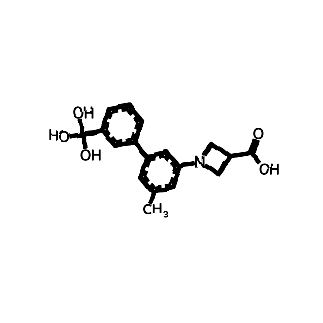 Cc1cc(-c2cccc(C(O)(O)O)c2)cc(N2CC(C(=O)O)C2)c1